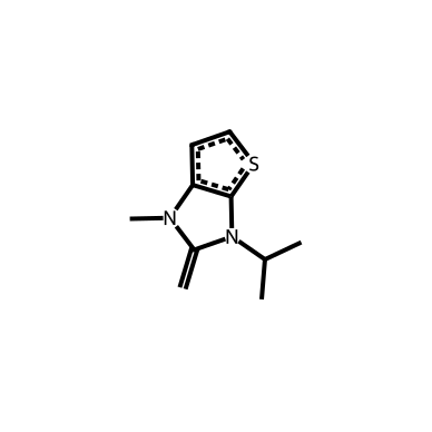 C=C1N(C)c2ccsc2N1C(C)C